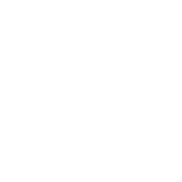 CC(C)(C)OC(=O)N1CCc2cccc3c2C(=CS3(=O)=O)C1